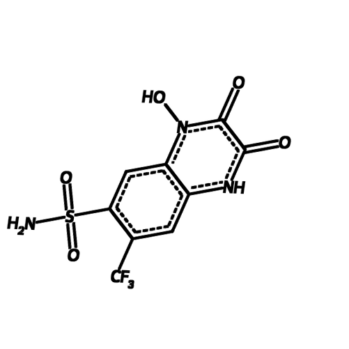 NS(=O)(=O)c1cc2c(cc1C(F)(F)F)[nH]c(=O)c(=O)n2O